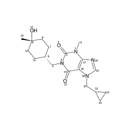 Cn1c(=O)n(C[C@H]2CC[C@@](C)(O)CC2)c(=O)c2c1ncn2CC1CC1